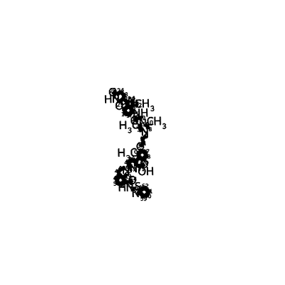 Cc1c(OCCCN2CC(C)N(CC(=O)Nc3cccc4c(C5CCC(=O)NC5=O)nn(C)c34)C(C)C2)cccc1-c1ccc(N2CCc3cccc(C(=O)Nc4nc5ccccc5s4)c3C2)nc1C(=O)O